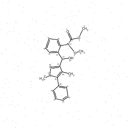 COC(=O)N(OC)c1ccccc1C(O)c1nn(C)c(-c2ccccc2)c1C